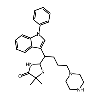 CC1(C)SC(C(CCCN2CCNCC2)c2cn(-c3ccccc3)c3ccccc23)NC1=O